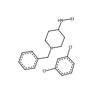 CCNC1CCN(Cc2ccccc2)CC1.Clc1cccc(Cl)c1